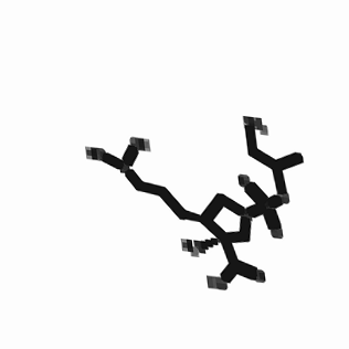 CC(CN)OS(=O)(=O)N1C[C@H](CCCB(O)O)[C@](N)(C(=O)O)C1